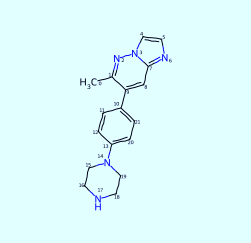 Cc1nn2ccnc2cc1-c1ccc(N2CCNCC2)cc1